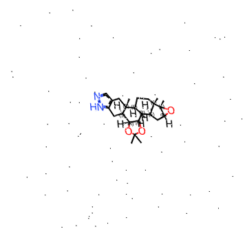 CC1(C)O[C@H]2[C@H](O1)[C@H]1Cc3[nH]ncc3C[C@]1(C)[C@H]1CC[C@@]3(C)[C@@H](C[C@H]4O[C@]43C)[C@H]21